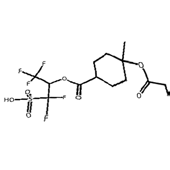 CCC(=O)OC1(C)CCC(C(=O)OC(C(F)(F)F)C(F)(F)S(=O)(=O)O)CC1